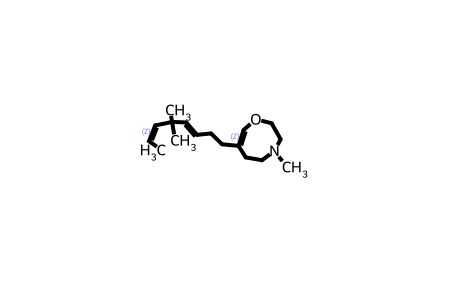 C/C=C\C(C)(C)C=CCC/C1=C/OCCN(C)CC1